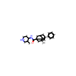 CC[C@]12CC3CC(C(=O)NC4CCNCC4C)(C1)C[C@@](c1ccccc1)(C3)C2